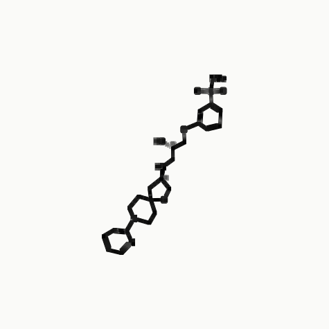 CNS(=O)(=O)c1cccc(OC[C@@H](O)CN[C@H]2COC3(CCN(c4ccccn4)CC3)C2)c1